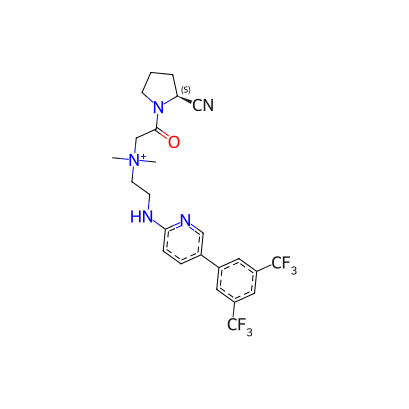 C[N+](C)(CCNc1ccc(-c2cc(C(F)(F)F)cc(C(F)(F)F)c2)cn1)CC(=O)N1CCC[C@H]1C#N